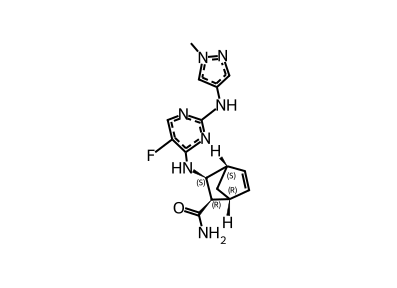 Cn1cc(Nc2ncc(F)c(N[C@@H]3[C@H](C(N)=O)[C@H]4C=C[C@@H]3C4)n2)cn1